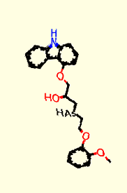 COc1ccccc1OCC[AsH]CC(O)COc1cccc2[nH]c3ccccc3c12